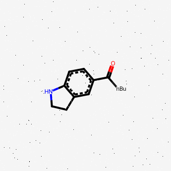 CCCCC(=O)c1ccc2c(c1)CCN2